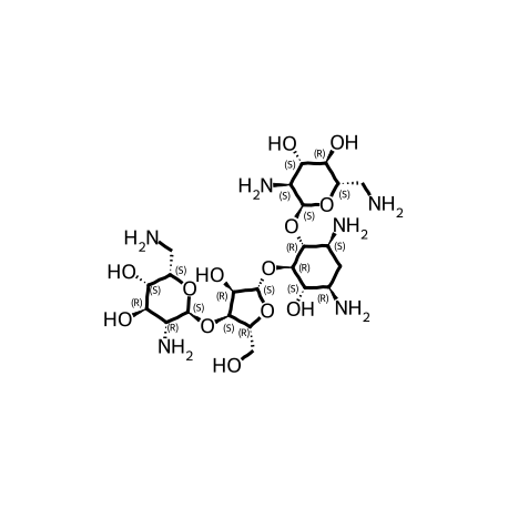 NC[C@@H]1O[C@@H](O[C@H]2[C@H](O[C@@H]3O[C@H](CO)[C@@H](O[C@@H]4O[C@@H](CN)[C@@H](O)[C@H](O)[C@H]4N)[C@H]3O)[C@@H](O)[C@H](N)C[C@@H]2N)[C@@H](N)[C@H](O)[C@H]1O